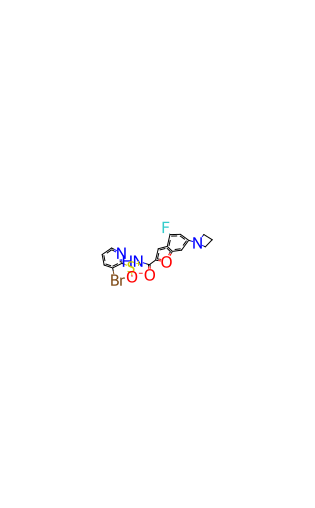 O=C(N[S+]([O-])c1ncccc1Br)c1cc2c(F)cc(N3CCC3)cc2o1